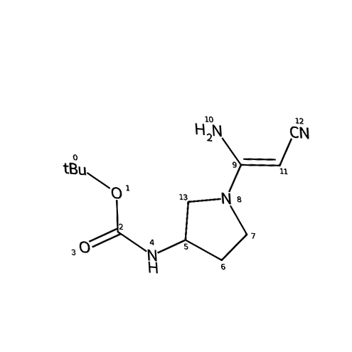 CC(C)(C)OC(=O)NC1CCN(C(N)=CC#N)C1